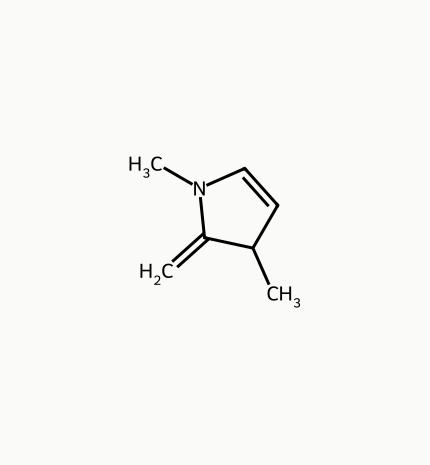 C=C1C(C)C=CN1C